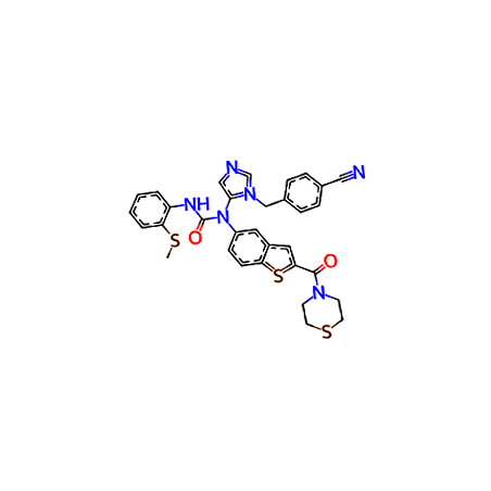 CSc1ccccc1NC(=O)N(c1ccc2sc(C(=O)N3CCSCC3)cc2c1)c1cncn1Cc1ccc(C#N)cc1